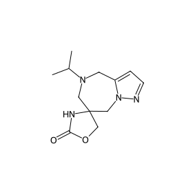 CC(C)N1Cc2ccnn2CC2(COC(=O)N2)C1